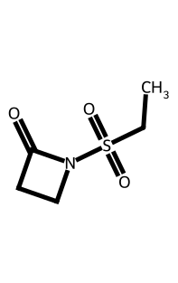 CCS(=O)(=O)N1CCC1=O